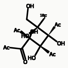 CC(=O)C(=O)[C@@](O)(C(C)=O)[C@](O)(C(C)=O)[C@@](O)(C(C)=O)[C@@](O)([18F])CO